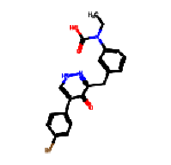 CCN(C(=O)O)c1cccc(Cc2n[nH]cc(-c3ccc(Br)cc3)c2=O)c1